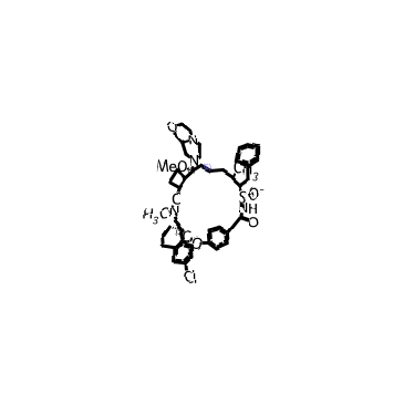 CO[C@]1(N2CCN3CCOCC3C2)/C=C/CC(C)C(Cc2ccccc2)[S+]([O-])NC(=O)c2ccc(cc2)OC[C@]2(CCCc3cc(Cl)ccc32)CN(C)CC2CCC21